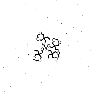 CCC1(CO[Si](OCC2(CC)COCOC2)(OCC2(CC)COCOC2)OCC2(CC)COCOC2)COCOC1